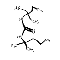 CCCC(C)(C)BC(=O)NC(C)(C)CC